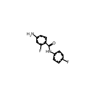 Nc1ccc(C(=O)Nc2ccc(F)cc2)c(F)c1